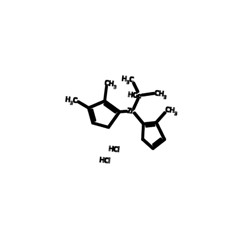 CC1=CC[C]([Zr]([C]2=C(C)C=CC2)[GeH]([CH3])[CH3])=C1C.Cl.Cl